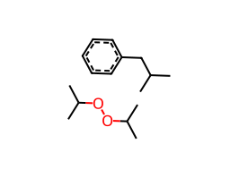 CC(C)Cc1ccccc1.CC(C)OOC(C)C